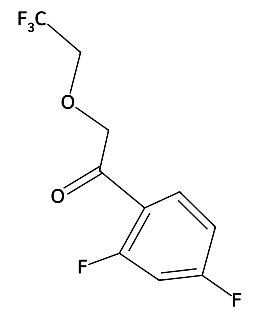 O=C(COCC(F)(F)F)c1ccc(F)cc1F